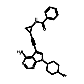 CC(C)N1CCC(n2cc(C#CC3CC3NC(=O)c3ccccc3)c3c(N)ncnc32)CC1